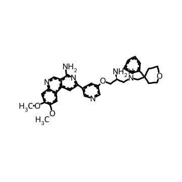 COc1cc2ncc3c(N)nc(-c4cncc(OC[C@@H](N)CNCC5(c6ccccc6)CCOCC5)c4)cc3c2cc1OC